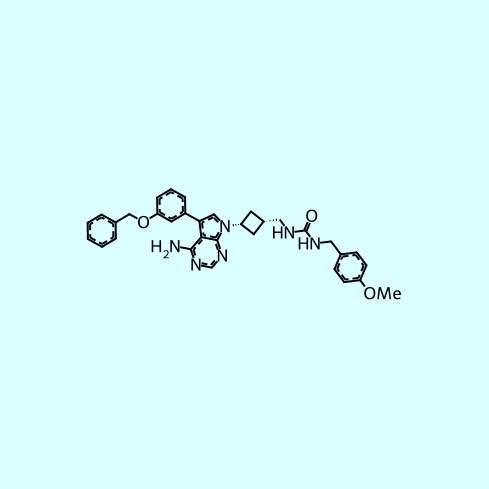 COc1ccc(CNC(=O)NC[C@H]2C[C@@H](n3cc(-c4cccc(OCc5ccccc5)c4)c4c(N)ncnc43)C2)cc1